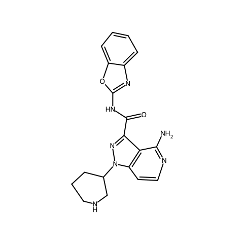 Nc1nccc2c1c(C(=O)Nc1nc3ccccc3o1)nn2C1CCCNC1